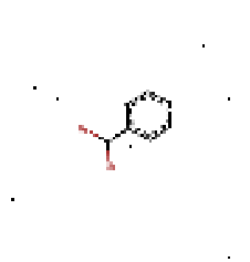 BrC(Br)c1[c]cccc1